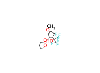 COc1ccc(C(O)(C(F)(F)F)C(F)(F)F)c(COC2CCCCO2)c1